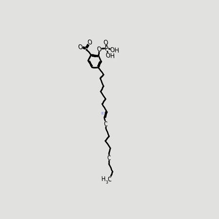 CCCCCCCCCC/C=C/CCCCCCc1ccc(I(=O)=O)c(OP(=O)(O)O)c1